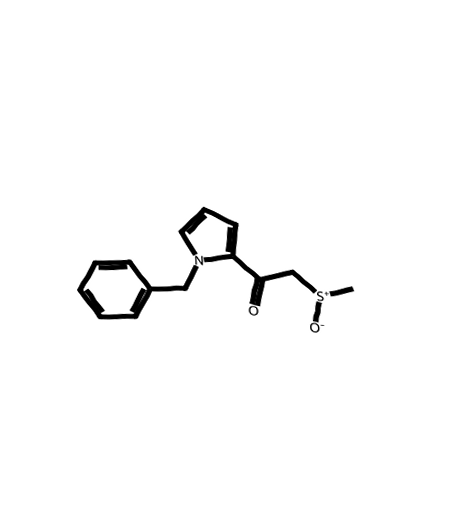 C[S+]([O-])CC(=O)c1cccn1Cc1ccccc1